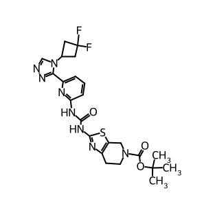 CC(C)(C)OC(=O)N1CCc2nc(NC(=O)Nc3cccc(-c4nncn4C4CC(F)(F)C4)n3)sc2C1